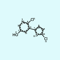 Oc1cnc(Cl)c(-c2ccc(Cl)s2)c1